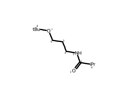 CC(C)C(=O)NCCCOC(C)(C)C